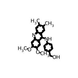 COc1cc2nc3cc(C)c(C)cc3c(Nc3ccc(CO)cc3)c2cc1OC